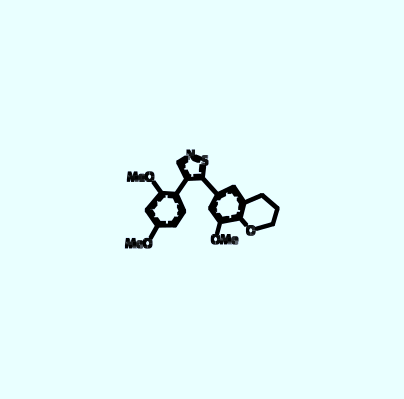 COc1ccc(-c2cnsc2-c2cc3c(c(OC)c2)OCCC3)c(OC)c1